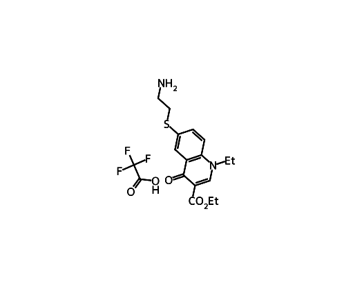 CCOC(=O)c1cn(CC)c2ccc(SCCN)cc2c1=O.O=C(O)C(F)(F)F